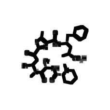 Cc1sc(C(=O)CC(C(C)C)N(C)C(=O)[C@@H](NC(=O)[C@H]2CCCCN2C)C(C)C)nc1C(=O)N[C@@H](Cc1ccccc1)C[C@H](C)C(=O)O